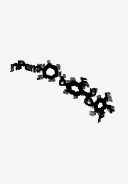 CCCCC[C@H]1CC[C@H](COc2ccc(C(=O)Oc3cc(F)c(F)c(F)c3)c(F)c2)CC1